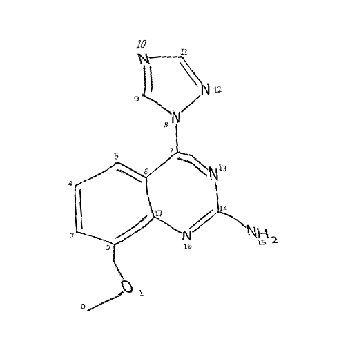 COc1cccc2c(-n3cncn3)nc(N)nc12